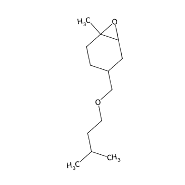 CC(C)CCOCC1CCC2(C)OC2C1